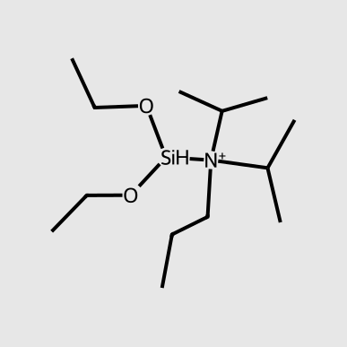 CCC[N+](C(C)C)(C(C)C)[SiH](OCC)OCC